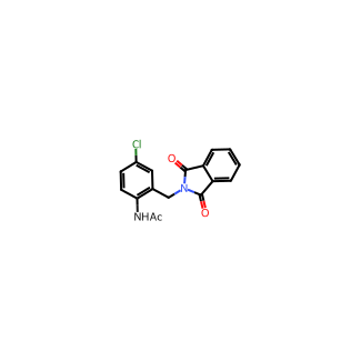 CC(=O)Nc1ccc(Cl)cc1CN1C(=O)c2ccccc2C1=O